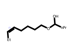 CC/C=C\CCCCOC(O)CCC